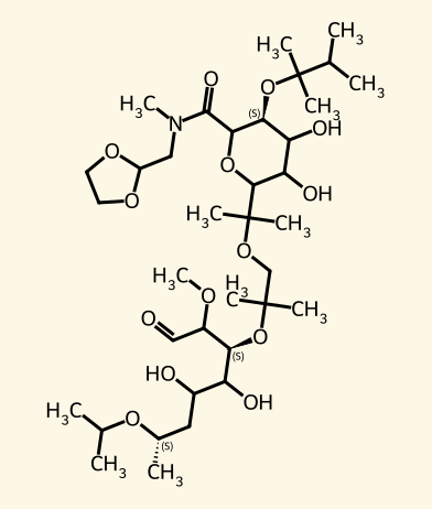 COC(C=O)[C@@H](OC(C)(C)COC(C)(C)C1OC(C(=O)N(C)CC2OCCO2)[C@@H](OC(C)(C)C(C)C)C(O)C1O)C(O)C(O)C[C@H](C)OC(C)C